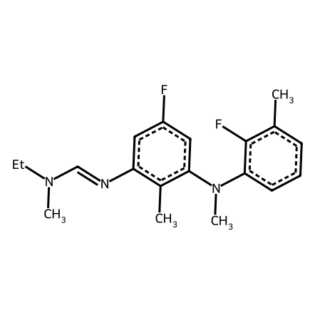 CCN(C)/C=N/c1cc(F)cc(N(C)c2cccc(C)c2F)c1C